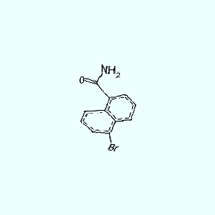 NC(=O)c1cccc2c(Br)cccc12